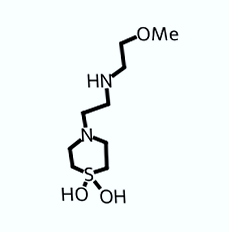 COCCNCCN1CCS(O)(O)CC1